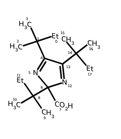 CCC(C)(C)C1=NC(C(=O)O)(C(C)(C)CC)N=C1C(C)(C)CC